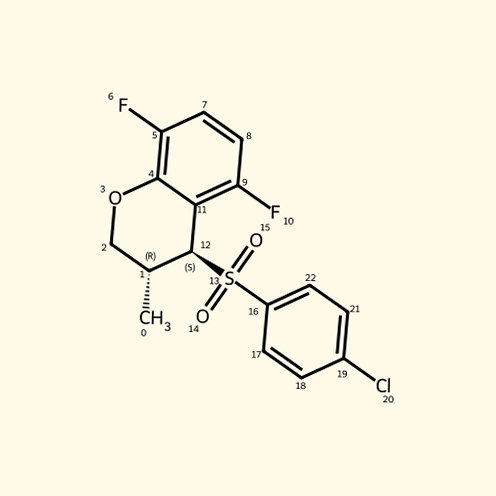 C[C@@H]1COc2c(F)ccc(F)c2[C@H]1S(=O)(=O)c1ccc(Cl)cc1